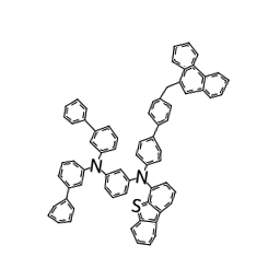 c1ccc(-c2cccc(N(c3cccc(-c4ccccc4)c3)c3cccc(N(c4ccc(-c5ccc(Cc6cc7ccccc7c7ccccc67)cc5)cc4)c4cccc5c4sc4ccccc45)c3)c2)cc1